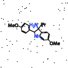 COc1ccc(C(N)C(N)(c2ccc(OC)cc2)C(C)C)cc1